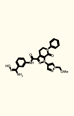 COCn1cc(-n2nc(C(=O)Nc3cccc(/C(N)=N\O)c3)c3c2C(=O)N(c2ccccc2)CC3)cn1